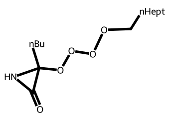 CCCCCCCCOOOOC1(CCCC)NC1=O